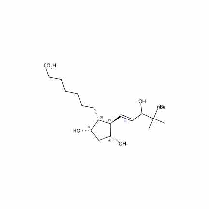 CCCCC(C)(C)C(O)/C=C/[C@@H]1[C@@H](CCCCCCC(=O)O)[C@@H](O)C[C@H]1O